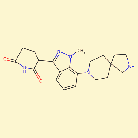 Cn1nc(C2CCC(=O)NC2=O)c2cccc(N3CCC4(CCNC4)CC3)c21